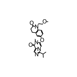 COCCN1C(=O)CCc2cc(Oc3cn4c(C(C)C)ncc4c(=O)n3C)ccc21